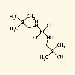 C[Si](C)(C)C[NH][Pt]([Cl])([Cl])[NH]C[Si](C)(C)C